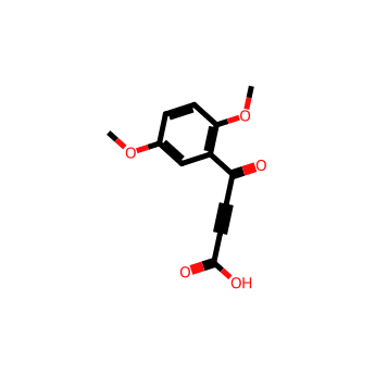 COc1ccc(OC)c(C(=O)C#CC(=O)O)c1